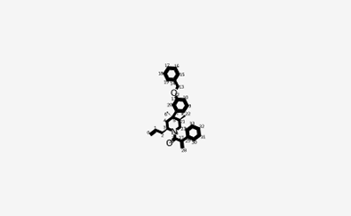 C=CC[C@H]1C[C@@](C)(c2cccc(OCc3ccccc3)c2)[C@@H](C)CN1C(=O)C(=C)c1ccccc1